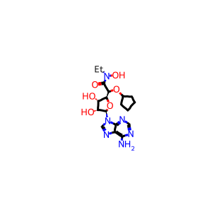 CCN(O)C(=O)C(OC1CCCC1)[C@H]1O[C@@H](n2cnc3c(N)ncnc32)[C@H](O)[C@@H]1O